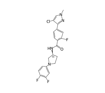 Cn1cc(Cl)c(-c2ccc(C(=O)N[C@H]3CCN(c4ccc(F)c(F)c4)C3)c(F)c2)n1